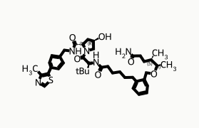 Cc1ncsc1-c1ccc(CNC(=O)[C@@H]2C[C@@H](O)CN2C(=O)[C@@H](NC(=O)CCCCCc2ccccc2CO[C@H](C)[C@@H](C)CCC(N)=O)C(C)(C)C)cc1